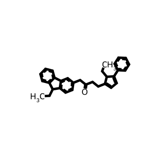 CCC1C(CCC(=O)Cc2ccc3c(c2)-c2ccccc2C3CC)=CC=C1c1ccccc1